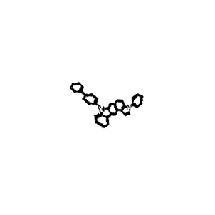 c1ccc(-c2ccc(-n3c4ccccc4c4cc5c(ccc6c5ccn6-c5ccccc5)cc43)cc2)cc1